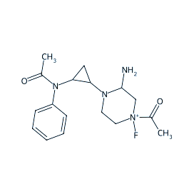 CC(=O)N(c1ccccc1)C1CC1N1CC[N+](F)(C(C)=O)CC1N